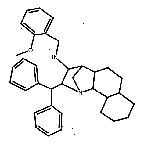 COc1ccccc1CNC1C2CN(C3C4CCCCC4CCC23)C1C(c1ccccc1)c1ccccc1